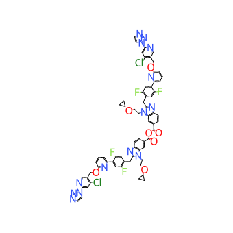 O=C(OC(=O)c1ccc2nc(Cc3cc(F)c(-c4cccc(OCc5cnc(-n6ccnn6)cc5Cl)n4)cc3F)n(CCOC3CC3)c2c1)c1ccc2nc(Cc3cc(F)c(-c4cccc(OCc5cnc(-n6ccnn6)cc5Cl)n4)cc3F)n(CCOC3CC3)c2c1